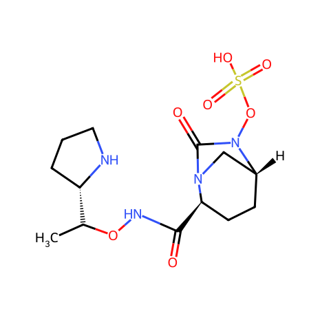 CC(ONC(=O)[C@@H]1CC[C@@H]2CN1C(=O)N2OS(=O)(=O)O)[C@@H]1CCCN1